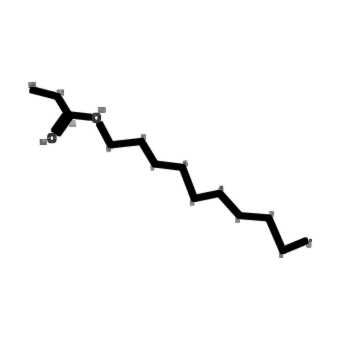 [CH2]CCCCCCCCCOC(=O)CC